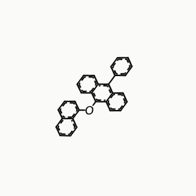 c1ccc(-c2c3ccccc3c(Oc3cccc4ccccc34)c3ccccc23)cc1